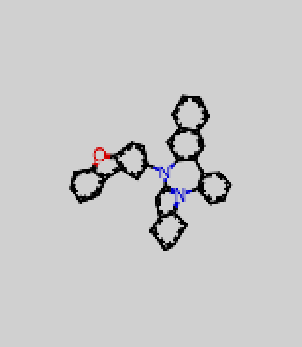 c1ccc2c(c1)-c1cc3ccccc3cc1N(c1ccc3oc4ccccc4c3c1)c1cc3ccccc3n1-2